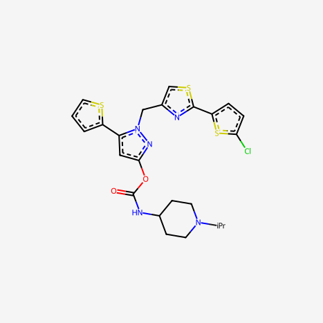 CC(C)N1CCC(NC(=O)Oc2cc(-c3cccs3)n(Cc3csc(-c4ccc(Cl)s4)n3)n2)CC1